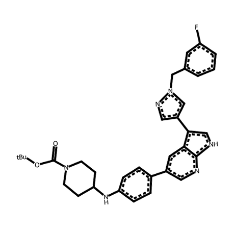 CC(C)(C)OC(=O)N1CCC(Nc2ccc(-c3cnc4[nH]cc(-c5cnn(Cc6cccc(F)c6)c5)c4c3)cc2)CC1